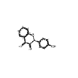 O=C1C(=O)C(c2ccc(O)cc2)Oc2ccccc21